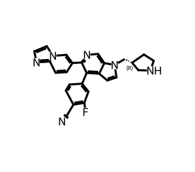 N#Cc1ccc(-c2c(-c3ccc4nccn4c3)ncc3c2ccn3C[C@@H]2CCNC2)cc1F